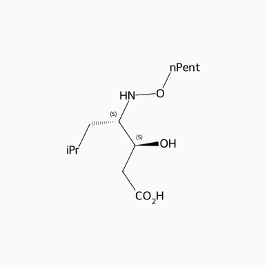 CCCCCON[C@@H](CC(C)C)[C@@H](O)CC(=O)O